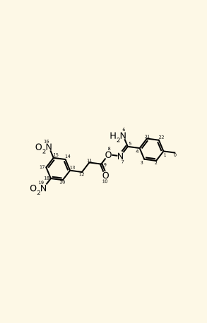 Cc1ccc(C(N)=NOC(=O)CCc2cc([N+](=O)[O-])cc([N+](=O)[O-])c2)cc1